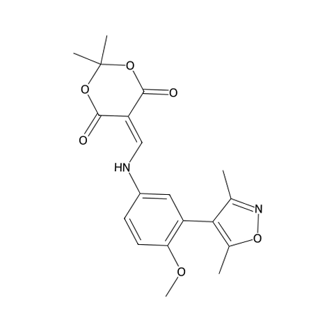 COc1ccc(NC=C2C(=O)OC(C)(C)OC2=O)cc1-c1c(C)noc1C